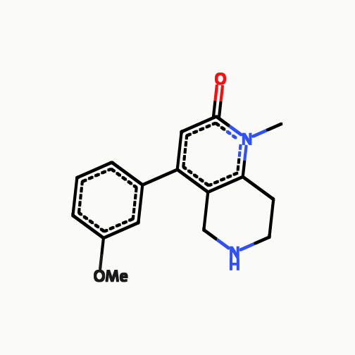 COc1cccc(-c2cc(=O)n(C)c3c2CNCC3)c1